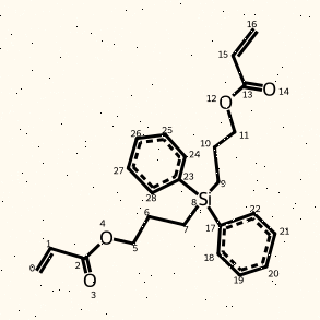 C=CC(=O)OCCC[Si](CCCOC(=O)C=C)(c1ccccc1)c1ccccc1